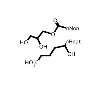 CCCCCCCC(O)CCCC(=O)O.CCCCCCCCCC(=O)OCC(O)CO